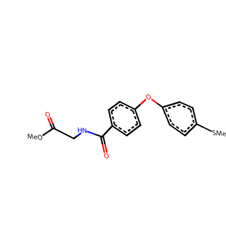 COC(=O)CNC(=O)c1ccc(Oc2ccc(SC)cc2)cc1